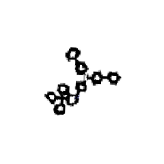 C=CC1=C(/C(=C\C)c2ccc(N(c3ccc(-c4ccccc4)cc3)c3ccc(-c4ccccc4)cc3)cc2)c2ccccc2C1(c1ccccc1)c1ccccc1